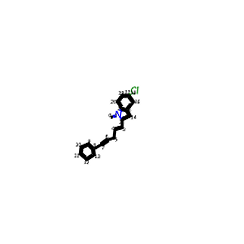 Cn1c(/C=C/CC#Cc2ccccc2)cc2cc(Cl)ccc21